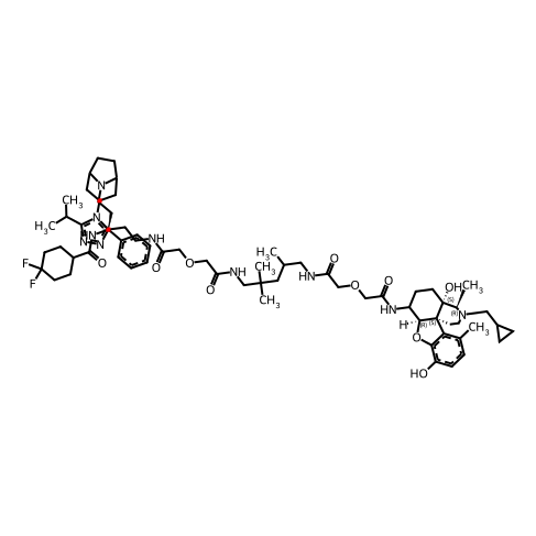 Cc1ccc(O)c2c1[C@]13CCN(CC4CC4)[C@H](C)[C@]1(O)CCC(NC(=O)COCC(=O)NCC(C)CC(C)(C)CNC(=O)COCC(=O)NCCc1nnc(C(C)C)n1C1CC4CCC(C1)N4CC[C@H](NC(=O)C1CCC(F)(F)CC1)c1ccccc1)[C@@H]3O2